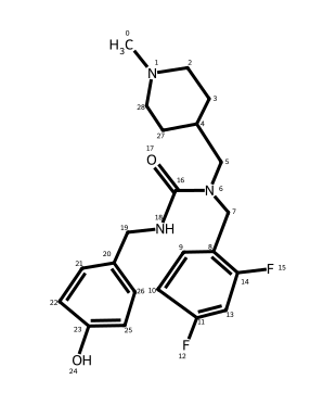 CN1CCC(CN(Cc2ccc(F)cc2F)C(=O)NCc2ccc(O)cc2)CC1